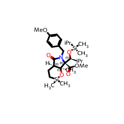 COC(=O)[C@]1([C@@H](O[Si](C)(C)C(C)C)C(C)C)N(Cc2ccc(OC)cc2)C(=O)[C@@H]2CC[Si](C)(C)O[C@@]21C